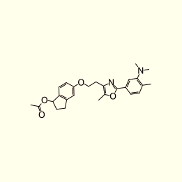 CC(=O)OC1CCc2cc(OCCc3nc(-c4ccc(C)c(N(C)C)c4)oc3C)ccc21